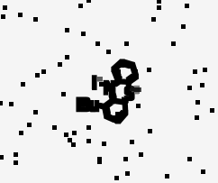 CCC(C)c1cccc2[s+]c3ccccc3nc12.[I-]